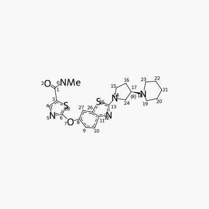 CNC(=O)c1cnc(Oc2ccc3nc(N4CC[C@@H](N5CCCCC5)C4)sc3c2)s1